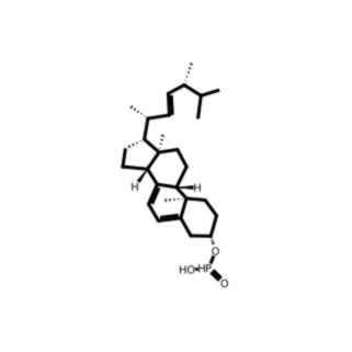 CC(C)[C@@H](C)C=C[C@@H](C)[C@H]1CC[C@H]2C3=CC=C4C[C@@H](O[PH](=O)O)CC[C@]4(C)[C@H]3CC[C@]12C